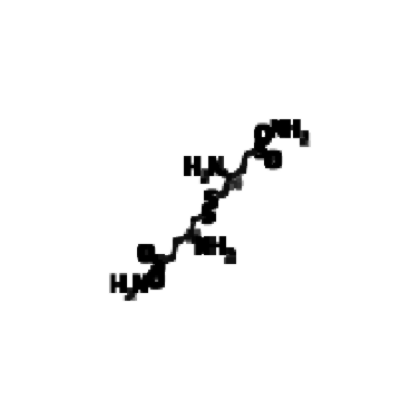 NOS(=O)CC[C@H](N)CSSC[C@@H](N)CCS(=O)ON